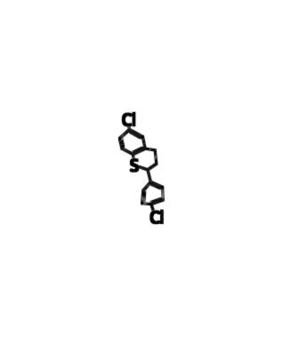 Clc1ccc(C2CCc3cc(Cl)ccc3S2)cc1